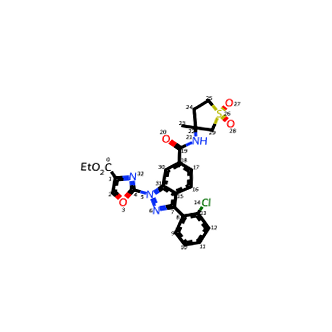 CCOC(=O)c1coc(-n2nc(-c3ccccc3Cl)c3ccc(C(=O)NC4(C)CCS(=O)(=O)C4)cc32)n1